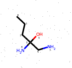 CCCC(N)(O)CN